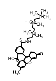 Cc1ccc2c(-c3cc(C(=S)NCC[N+](C)(C)CC[N+](C)(C)CC[N+](C)(C)C)ccc3C(=O)O)c3ccc(=O)cc-3oc2c1